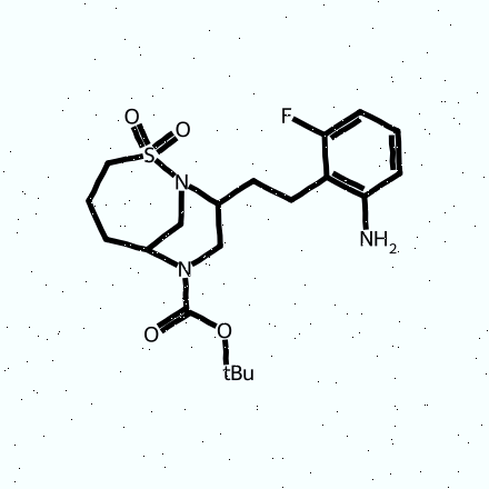 CC(C)(C)OC(=O)N1CC(CCc2c(N)cccc2F)N2CC1CCCS2(=O)=O